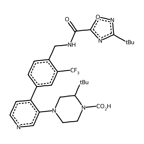 CC(C)(C)c1noc(C(=O)NCc2ccc(-c3ccncc3N3CCN(C(=O)O)C(C(C)(C)C)C3)cc2C(F)(F)F)n1